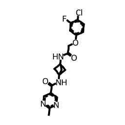 Cc1ncc(C(=O)NC23CC(NC(=O)COc4ccc(Cl)c(F)c4)(C2)C3)cn1